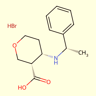 Br.C[C@H](N[C@H]1CCOC[C@H]1C(=O)O)c1ccccc1